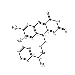 Cc1cc2nc3c(=O)[nH]c(=O)nc-3n(CCNC(C)c3ccccc3)c2cc1C